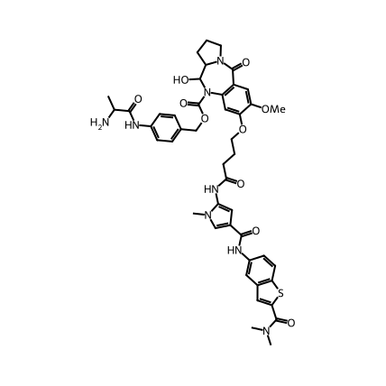 COc1cc2c(cc1OCCCC(=O)Nc1cc(C(=O)Nc3ccc4sc(C(=O)N(C)C)cc4c3)cn1C)N(C(=O)OCc1ccc(NC(=O)C(C)N)cc1)C(O)C1CCCN1C2=O